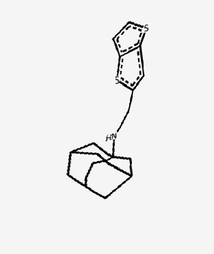 c1cc2sc(CNC34CC5CC(CC(C5)C3)C4)cc2s1